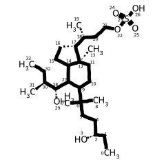 CC[C@H](O)CCC(C)(C)C1CC[C@@]2(C)C(CC[C@@H]2[C@H](C)CCOS(=O)(=O)O)C1[C@H](O)[C@@H](C)CC